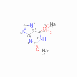 O.O=C1N=C2N=CN=C2C(=O)N1.[Na].[Na]